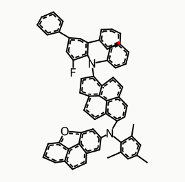 Cc1cc(C)c(N(c2cc3ccc4cccc5oc(c2)c3c45)c2ccc3ccc4c(N(c5ccccc5)c5c(F)cc(-c6ccccc6)cc5-c5ccccc5)ccc5ccc2c3c54)c(C)c1